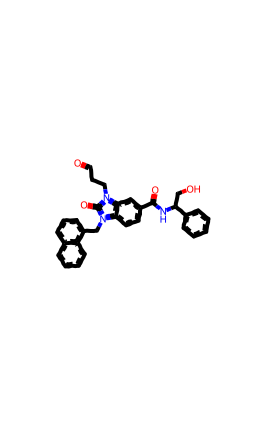 O=CCCn1c(=O)n(Cc2cccc3ccccc23)c2ccc(C(=O)NC(CO)c3ccccc3)cc21